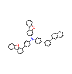 c1cc(-c2ccc(N(c3ccc(-c4cccc5c4oc4ccccc45)cc3)c3ccc4c(c3)oc3ccccc34)cc2)cc(-c2ccc3ccccc3c2)c1